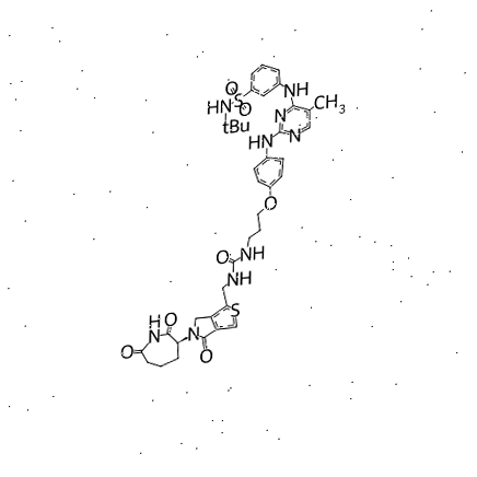 Cc1cnc(Nc2ccc(OCCCNC(=O)NCc3scc4c3CN([C@H]3CCCC(=O)NC3=O)C4=O)cc2)nc1Nc1cccc(S(=O)(=O)NC(C)(C)C)c1